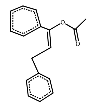 CC(=O)O/C(=C/Cc1ccccc1)c1ccccc1